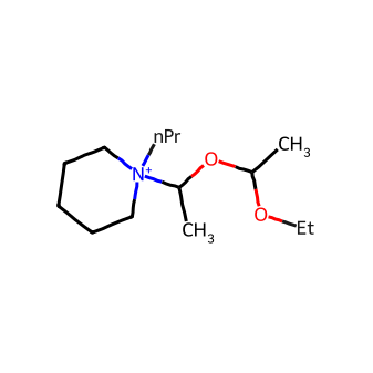 CCC[N+]1(C(C)OC(C)OCC)CCCCC1